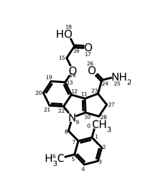 Cc1cccc(C)c1Cn1c2c(c3c(OCC(=O)O)cccc31)C(C(N)=O)CC2